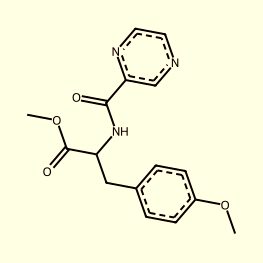 COC(=O)C(Cc1ccc(OC)cc1)NC(=O)c1cnccn1